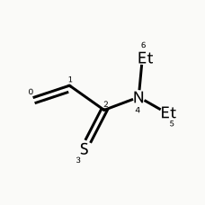 C=CC(=S)N(CC)CC